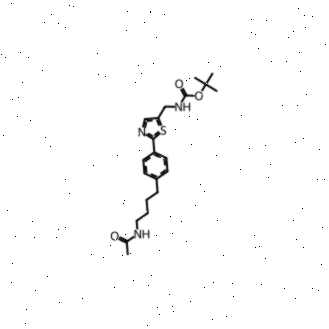 CC(=O)NCCCCc1ccc(-c2ncc(CNC(=O)OC(C)(C)C)s2)cc1